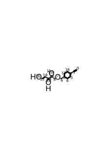 C#Cc1ccc(COC[C@@H](OC)[C@H](O)C=CO)cc1